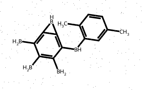 Bc1c(B)c(Bc2cc(C)ccc2C)c2c(c1B)B2